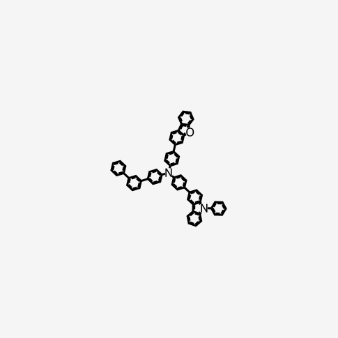 c1ccc(-c2cccc(-c3ccc(N(c4ccc(-c5ccc6c(c5)oc5ccccc56)cc4)c4ccc(-c5ccc6c(c5)c5ccccc5n6-c5ccccc5)cc4)cc3)c2)cc1